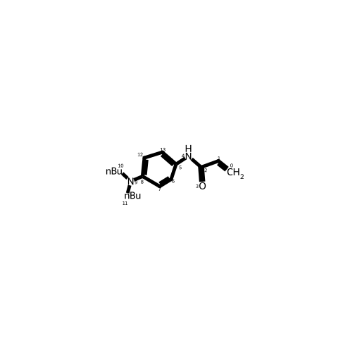 C=CC(=O)Nc1ccc(N(CCCC)CCCC)cc1